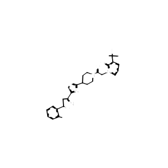 Cc1ccccc1C1CC(c2csc(C3CCN(C(=O)Cn4cccc(C(F)(F)F)c4=O)CC3)n2)=NO1